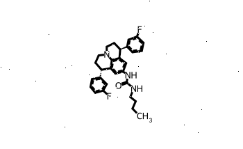 CCCCNC(=O)Nc1cc2c3c(c1)[C@H](c1cccc(F)c1)CCN3CC[C@H]2c1cccc(F)c1